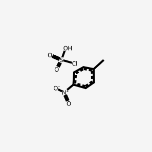 Cc1ccc([N+](=O)[O-])cc1.O=S(=O)(O)Cl